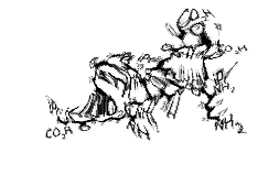 CC(C)C[C@H](NC(=O)[C@H](CCCNC(=N)N)NC(=O)CNC(=O)[C@H](CC(C)C)NC(=O)[C@H](C)NC(=O)[C@H](CCC(=O)O)NC(=O)CNC(=O)CNC(=O)[C@@H](NC(=O)[C@H](CCC(=O)O)NC(=O)[C@H](CC(=O)O)NC(=O)[C@@H](NC(=O)[C@@H](N)CCCCN)C(C)C)C(C)C)C(=O)O